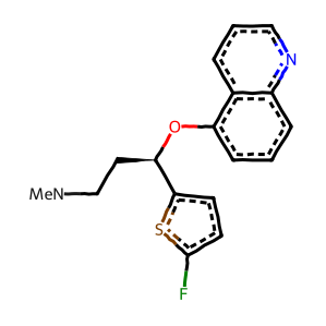 CNCC[C@@H](Oc1cccc2ncccc12)c1ccc(F)s1